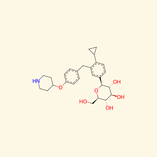 OC[C@H]1O[C@@H](c2ccc(C3CC3)c(Cc3ccc(OC4CCNCC4)cc3)c2)[C@H](O)[C@@H](O)[C@@H]1O